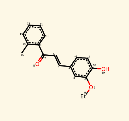 CCOc1cc(/C=C/C(=O)c2ccccc2C)ccc1O